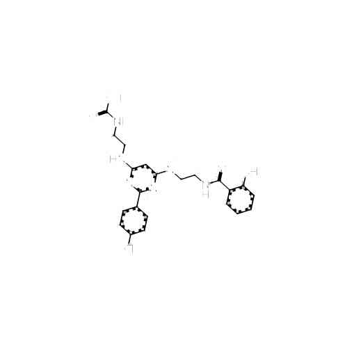 CC(=O)NCCNc1cc(NCCNC(=O)c2ccccc2S)nc(-c2ccc(Cl)cc2)n1